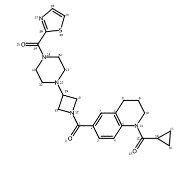 O=C(c1ccc2c(c1)CCCN2C(=O)C1CC1)N1CC(N2CCN(C(=O)c3nccs3)CC2)C1